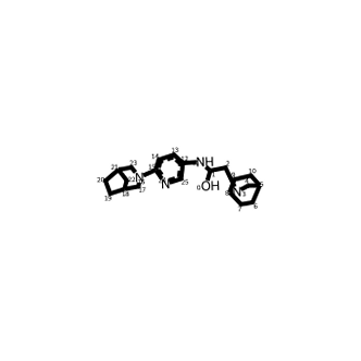 OC(CN1CC2CCC1CC2)Nc1ccc(N2CC3CCC(C3)C2)nc1